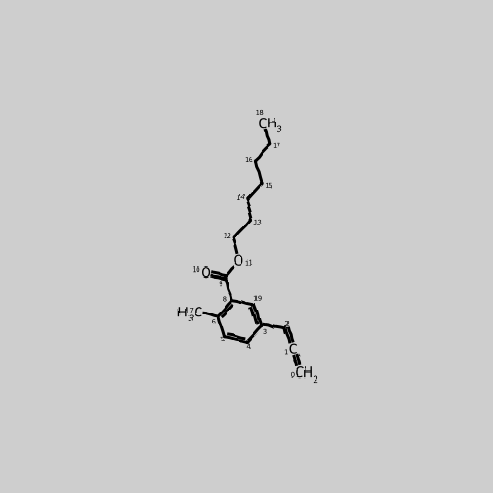 C=C=Cc1ccc(C)c(C(=O)OCCCCCCC)c1